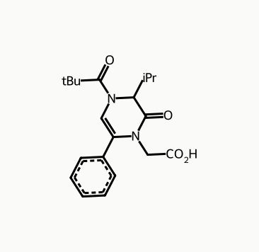 CC(C)C1C(=O)N(CC(=O)O)C(c2ccccc2)=CN1C(=O)C(C)(C)C